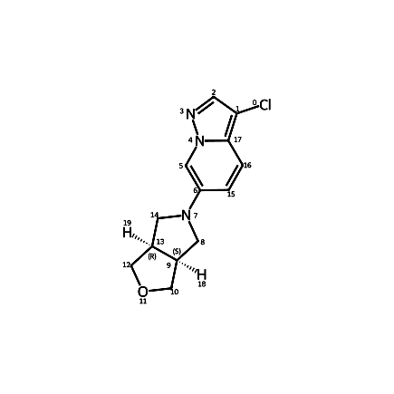 Clc1cnn2cc(N3C[C@H]4COC[C@H]4C3)ccc12